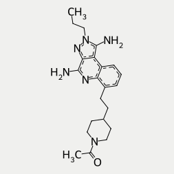 CCCn1nc2c(N)nc3c(CCC4CCN(C(C)=O)CC4)cccc3c2c1N